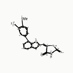 COc1ccc(-c2cncc3cc(/C=C4/SC(=S)NC4=O)oc23)cc1C(F)(F)F